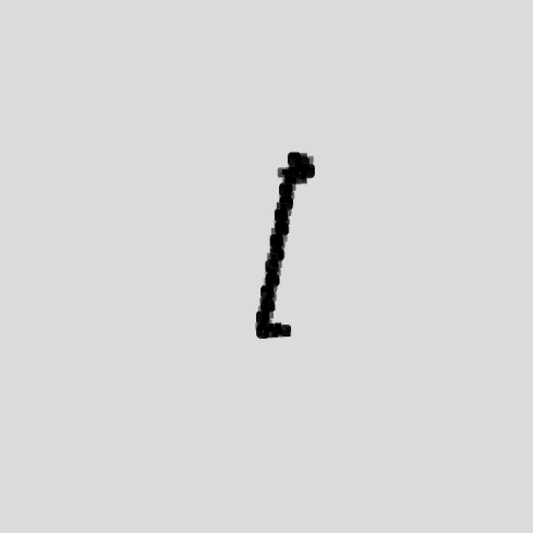 C=C(CCN1C(=O)C=CC1=O)NCCOCCOCCOCCOCCOCCOCCOCCOCCOCCOCCOCCOC